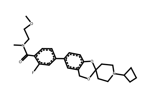 COCCN(C)C(=O)c1ccc(-c2ccc3c(c2)COC2(CCN(C4CCC4)CC2)O3)cc1F